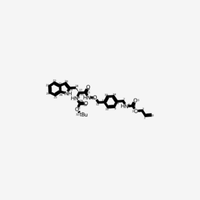 C=CCOC(=O)NCc1ccc(CONC(=O)[C@@H](Cc2cc3ccccc3[nH]2)NC(=O)OC(C)(C)C)cc1